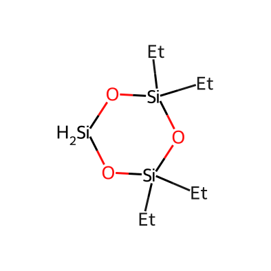 CC[Si]1(CC)O[SiH2]O[Si](CC)(CC)O1